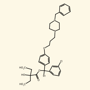 CCC(OC(=O)C(O)(CC(=O)O)CC(=O)O)(c1ccc(OCCCN2CCN(Cc3ccccc3)CC2)cc1)c1cccc(Cl)c1